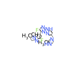 C[C@H]1CN(Cc2ccc(Nc3ncc(F)c(-c4cc(F)c5nc6n(c5c4)C(C)(C)CC6)n3)nc2)CCN1